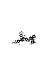 Cc1nc(-c2ccc(C(O)(C(F)(F)F)C(F)(F)F)cc2)nc2c1n(-c1ccc(C(=O)N3CCc4c(n(Cc5ccc(C#N)cc5F)c5ncccc45)C3)nc1)c(=O)n2C1CCN(CC(C)(C)C)CC1